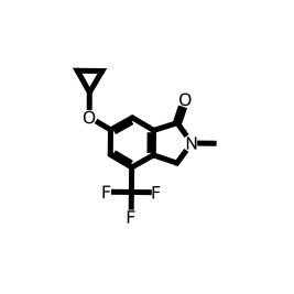 CN1Cc2c(cc(OC3CC3)cc2C(F)(F)F)C1=O